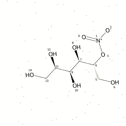 O=[N+]([O-])O[C@H](CO)[C@H](O)[C@@H](O)[C@H](O)CO